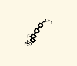 CCCC1CCC(C2CCC(c3cc(F)c4cc(OC(F)(F)F)ccc4c3)CC2)CC1